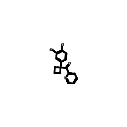 O=C(c1ccccn1)C1(c2ccc(Cl)c(Cl)c2)CCC1